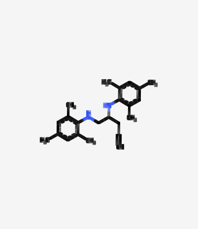 C#CCC(CNc1c(C)cc(C)cc1C)Nc1c(C)cc(C)cc1C